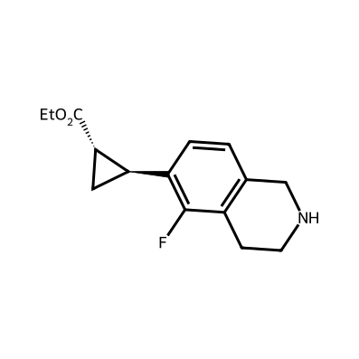 CCOC(=O)[C@H]1C[C@@H]1c1ccc2c(c1F)CCNC2